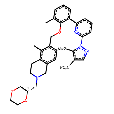 COc1c(C(=O)O)cnn1-c1cccc(-c2cccc(C)c2OCc2ccc3c(c2C)CCN(C[C@H]2COCCO2)C3)n1